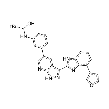 CC(C)(C)C(O)Nc1cncc(-c2cnc3[nH]nc(-c4nc5c(-c6ccoc6)cccc5[nH]4)c3c2)c1